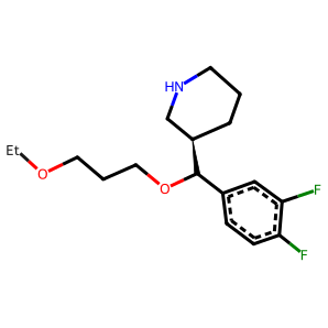 CCOCCCOC(c1ccc(F)c(F)c1)[C@@H]1CCCNC1